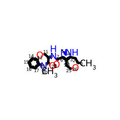 CC1Cc2[nH]nc(C(=O)NC3COc4ccccc4N(C)C3=O)c2CCO1